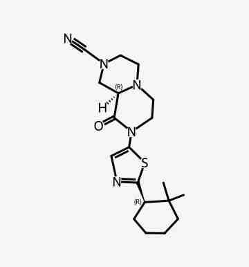 CC1(C)CCCC[C@H]1c1ncc(N2CCN3CCN(C#N)C[C@@H]3C2=O)s1